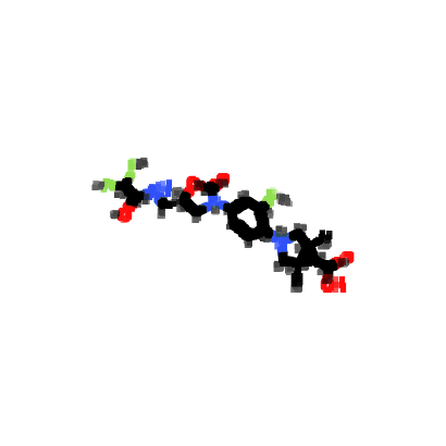 O=C(NC[C@H]1CN(c2ccc(N3C[C@@H]4C(C(=O)O)[C@@H]4C3)c(F)c2)C(=O)O1)C(F)F